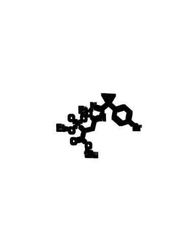 CCOP(=O)(OCC)C(Cc1nc(C2(c3ccc(Br)cc3)CC2)no1)C(=O)OC(C)(C)C